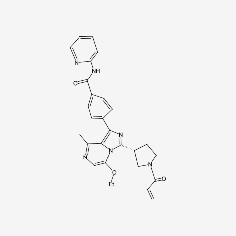 C=CC(=O)N1CC[C@@H](c2nc(-c3ccc(C(=O)Nc4ccccn4)cc3)c3c(C)ncc(OCC)n23)C1